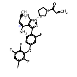 C#C/C=C(/N)c1c(-c2ccc(Oc3c(F)c(F)cc(F)c3F)cc2F)nn([C@@H]2CCN(C(=O)C=C)C2)c1N